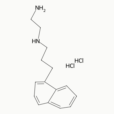 Cl.Cl.NCCNCCCc1cccc2ccccc12